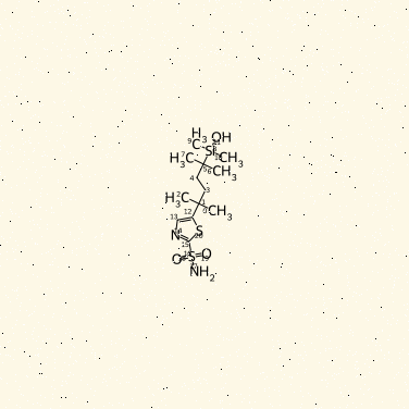 CC(C)(CCC(C)(C)[Si](C)(C)O)c1cnc(S(N)(=O)=O)s1